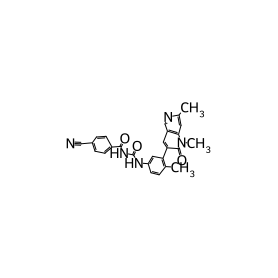 Cc1cc2c(cn1)cc(-c1cc(NC(=O)NC(=O)c3ccc(C#N)cc3)ccc1C)c(=O)n2C